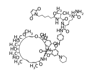 CO[C@H]1/C=C/O[C@@]2(C)Oc3cc(O)c4c(=O)c(c5oc6cc(N7CCCCC7)cc(OCc7ccc(NC(=O)[C@H](CCCNC(N)=O)NC(=O)C(NC(=O)CCCCCN8C(=O)C=CC8=O)C(C)C)cc7)c6nc-5c4c3C2=O)NC(=O)/C(C)=C\C=C\[C@H](C)[C@H](O)[C@@H](C)[C@@H](O)[C@@H](C)[C@H](O)[C@@H]1C